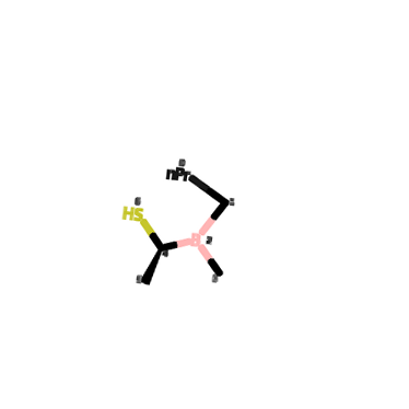 CCCCB(C)[C@@H](C)S